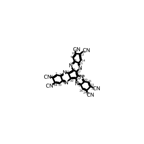 [C-]#[N+]c1cc2nc3c4nc5cc(C#N)c(C#N)cc5nc4c4nc5cc(C#N)c(C#N)cc5nc4c3nc2cc1[N+]#[C-]